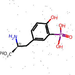 N[C@@H](Cc1ccc(O)c(P(=O)(O)O)c1)C(=O)O